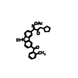 CCn1c2ccc(C(=O)c3ccccc3C)cc2c2cc(C(=NOC(C)=O)C(=O)CC3CCCC3)ccc21